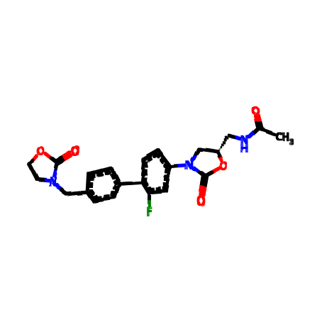 CC(=O)NC[C@H]1CN(c2ccc(-c3ccc(CN4CCOC4=O)cc3)c(F)c2)C(=O)O1